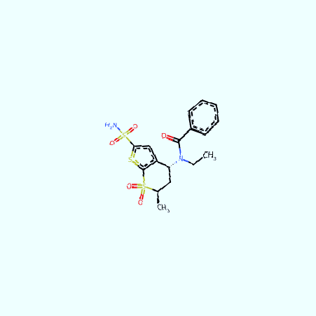 CCN(C(=O)c1ccccc1)[C@@H]1C[C@@H](C)S(=O)(=O)c2sc(S(N)(=O)=O)cc21